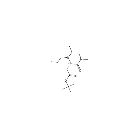 CCCN(CC)[C@@H](CC(=O)OC(C)(C)C)C(=O)N(C)C